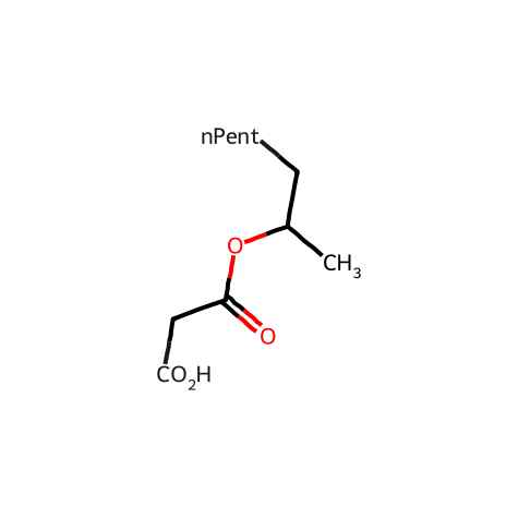 CCCCCCC(C)OC(=O)CC(=O)O